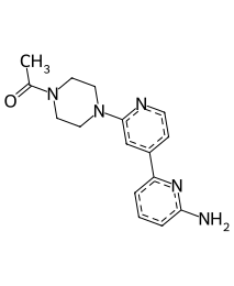 CC(=O)N1CCN(c2cc(-c3cccc(N)n3)ccn2)CC1